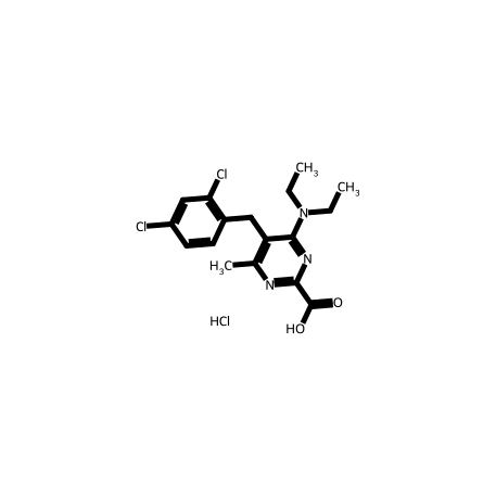 CCN(CC)c1nc(C(=O)O)nc(C)c1Cc1ccc(Cl)cc1Cl.Cl